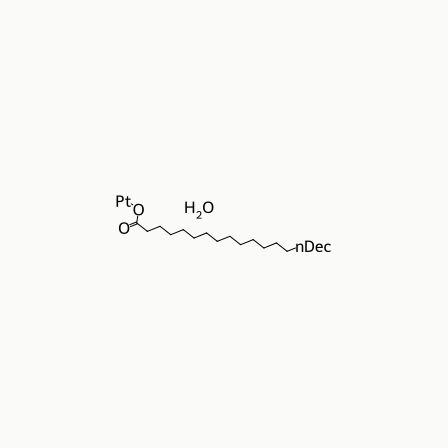 CCCCCCCCCCCCCCCCCCCCCCCC(=O)[O][Pt].O